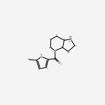 Cc1ccc(C(=O)N2CCCC3NCCC32)o1